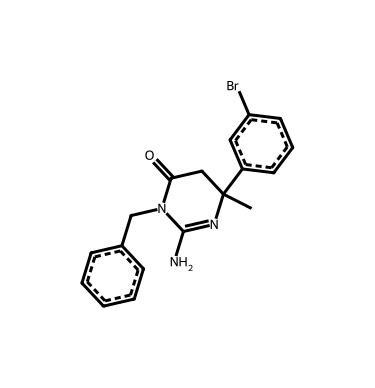 CC1(c2cccc(Br)c2)CC(=O)N(Cc2ccccc2)C(N)=N1